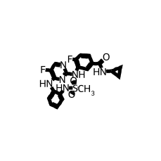 CS(=O)(=O)Nc1ccccc1Nc1nc(Nc2cc(C(=O)NC3CC3)ccc2F)ncc1F